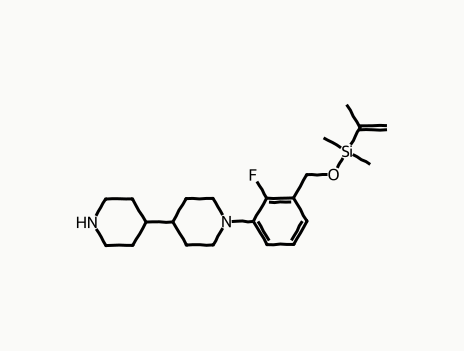 C=C(C)[Si](C)(C)OCc1cccc(N2CCC(C3CCNCC3)CC2)c1F